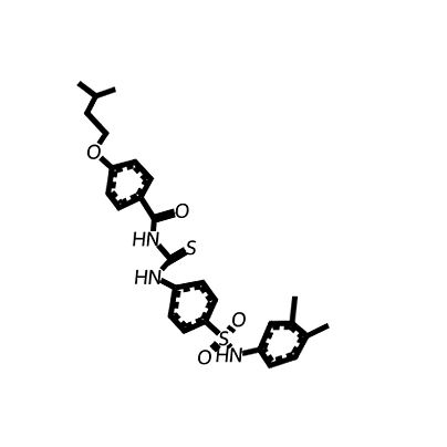 Cc1ccc(NS(=O)(=O)c2ccc(NC(=S)NC(=O)c3ccc(OCCC(C)C)cc3)cc2)cc1C